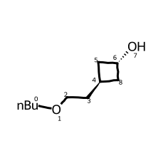 CCCCOCC[C@H]1C[C@H](O)C1